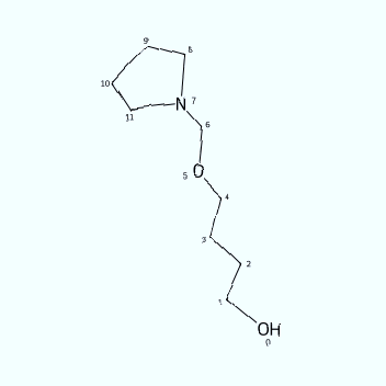 OCCCCOCN1CCCC1